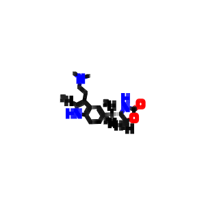 [2H]c1[nH]c2ccc(C([2H])([2H])[C@@H]3NC(=O)OC3([2H])[2H])cc2c1CCN(C)C